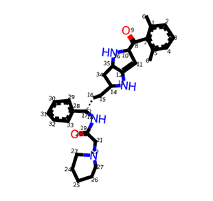 Cc1cccc(C)c1C(=O)C1C=C2NC(CC[C@H](NC(=O)CN3CCCCC3)c3ccccc3)CC2N1